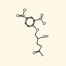 CC(=O)SCC(O)COc1ccc([N+](=O)[O-])cc1[N+](=O)[O-]